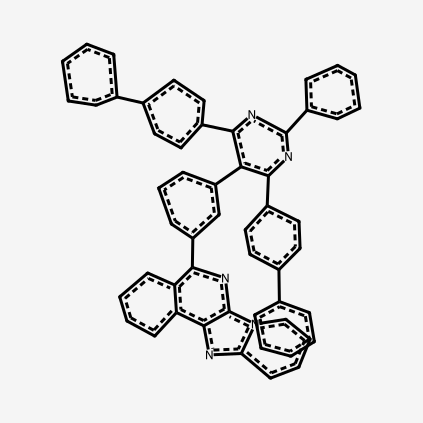 c1ccc(-c2ccc(-c3nc(-c4ccccc4)nc(-c4ccc(-c5ccccc5)cc4)c3-c3cccc(-c4nc5c(nc6ccccn65)c5ccccc45)c3)cc2)cc1